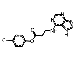 O=C(CCNc1ncnc2nc[nH]c12)Oc1ccc(Cl)cc1